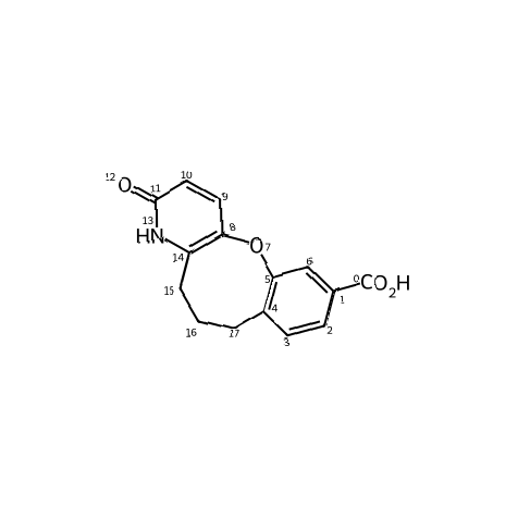 O=C(O)c1ccc2c(c1)Oc1ccc(=O)[nH]c1CCC2